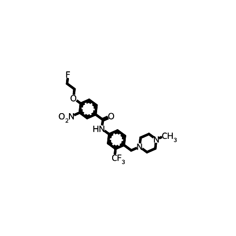 CN1CCN(Cc2ccc(NC(=O)c3ccc(OCCF)c([N+](=O)[O-])c3)cc2C(F)(F)F)CC1